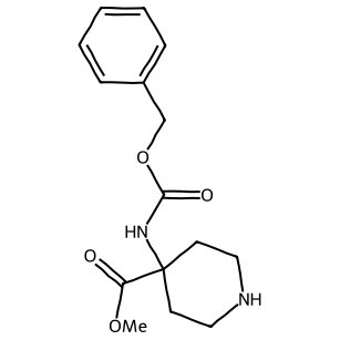 COC(=O)C1(NC(=O)OCc2ccccc2)CCNCC1